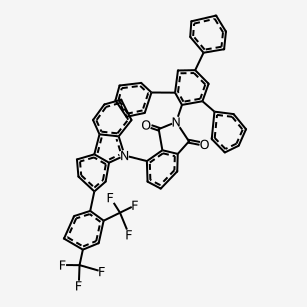 O=C1c2cccc(-n3c4ccccc4c4ccc(-c5ccc(C(F)(F)F)cc5C(F)(F)F)cc43)c2C(=O)N1c1c(-c2ccccc2)cc(-c2ccccc2)cc1-c1ccccc1